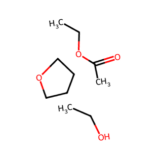 C1CCOC1.CCO.CCOC(C)=O